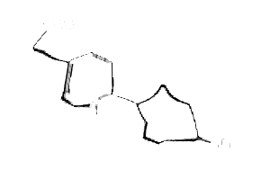 CCCC1CCC(c2ccc(CC=O)cn2)CC1